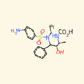 CC(C)CN(C(c1ccccc1)[C@H](O)[C@H](C)NC(=O)O)S(=O)(=O)c1ccc(N)cc1